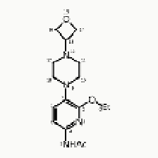 CCOc1nc(NC(C)=O)ccc1N1CCN(C2COC2)CC1